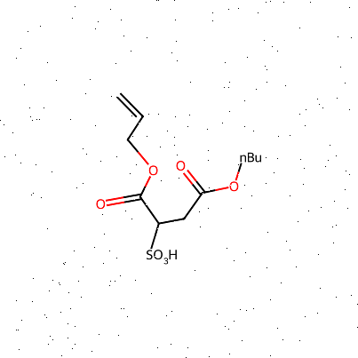 C=CCOC(=O)C(CC(=O)OCCCC)S(=O)(=O)O